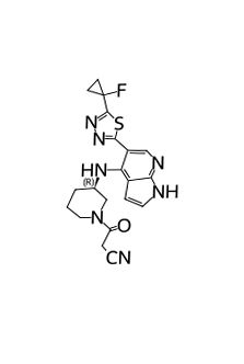 N#CCC(=O)N1CCC[C@@H](Nc2c(-c3nnc(C4(F)CC4)s3)cnc3[nH]ccc23)C1